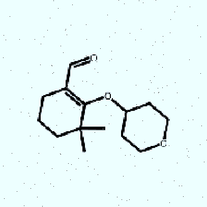 CC1(C)CCCC(C=O)=C1OC1CCOCC1